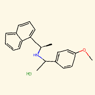 COc1ccc(C(C)N[C@H](C)c2cccc3ccccc23)cc1.Cl